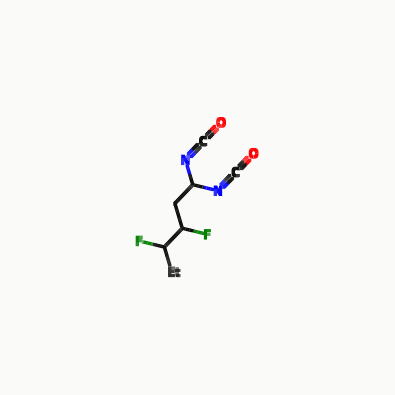 CCC(F)C(F)CC(N=C=O)N=C=O